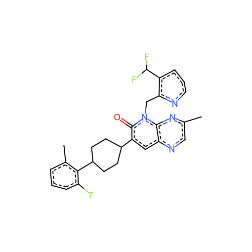 Cc1cnc2cc(C3CCC(c4c(C)cccc4F)CC3)c(=O)n(Cc3ncccc3C(F)F)c2n1